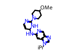 COC1CCN(C2=NC=CC(Nc3cc4c(cn3)ncn4C(C)C)N2)CC1